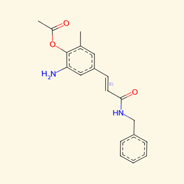 CC(=O)Oc1c(C)cc(/C=C/C(=O)NCc2ccccc2)cc1N